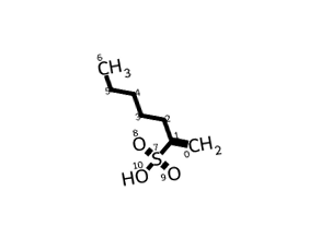 C=C(CCCCC)S(=O)(=O)O